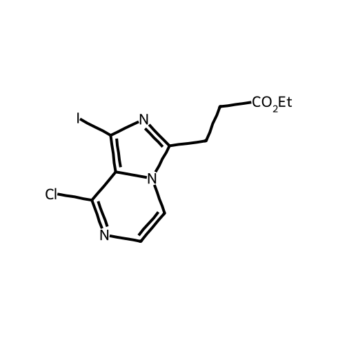 CCOC(=O)CCc1nc(I)c2c(Cl)nccn12